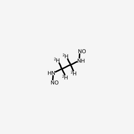 [2H]C([2H])(NN=O)C([2H])([2H])NN=O